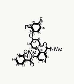 CNC(=O)c1cncc(NC(=O)c2cccnc2OC)c1N1CCC(Oc2ccc(F)cc2F)CC1